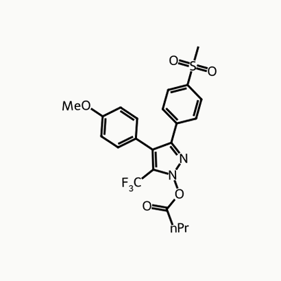 CCCC(=O)On1nc(-c2ccc(S(C)(=O)=O)cc2)c(-c2ccc(OC)cc2)c1C(F)(F)F